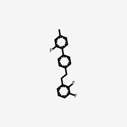 Cc1ccc(-c2ccc(CCc3cccc(F)c3F)cc2)c(F)c1